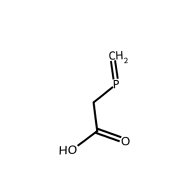 C=PCC(=O)O